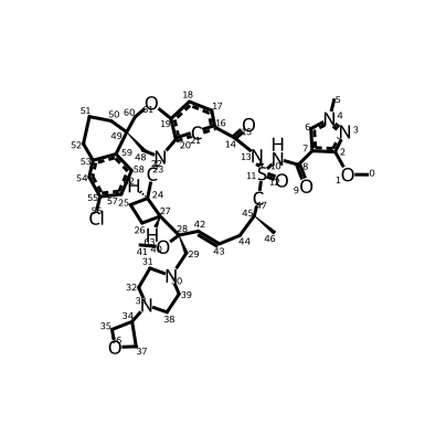 COc1nn(C)cc1C(=O)NS1(=O)=NC(=O)c2ccc3c(c2)N(C[C@@H]2CC[C@H]2[C@@](CN2CCN(C4COC4)CC2)(OC)/C=C/C[C@H](C)C1)C[C@@]1(CCCc2cc(Cl)ccc21)CO3